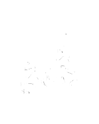 COCCNc1cccc(C2CCN(C(=O)c3cc(C(F)(F)F)cc(C(F)(F)F)c3)CC2c2ccccc2)c1